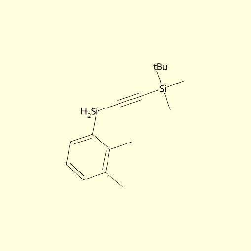 Cc1cccc([SiH2]C#C[Si](C)(C)C(C)(C)C)c1C